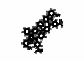 C[SiH2]c1ccc(N(c2ccc3c(c2)C2(c4ccccc4-c4cc5c6ccccc6c6ccccc6c5cc42)c2cc(N(c4ccc([SiH](C)C)cc4)c4cccc5c4oc4c(C(C)C)cccc45)ccc2-3)c2cccc3c2oc2c(C(C)C)cccc23)cc1